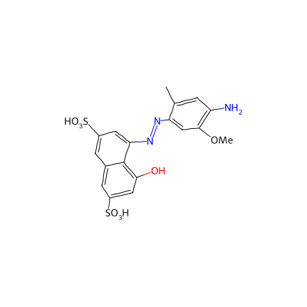 COc1cc(/N=N/c2cc(S(=O)(=O)O)cc3cc(S(=O)(=O)O)cc(O)c23)c(C)cc1N